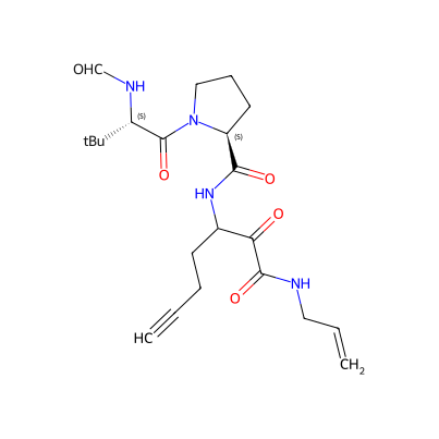 C#CCCC(NC(=O)[C@@H]1CCCN1C(=O)[C@@H](NC=O)C(C)(C)C)C(=O)C(=O)NCC=C